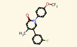 Cc1cc(=O)n(-c2ccc(OC(F)(F)F)cc2)cc1-c1cccc(F)c1